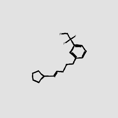 FCC(F)(F)c1cccc(CCC/C=C/C2CCCC2)c1